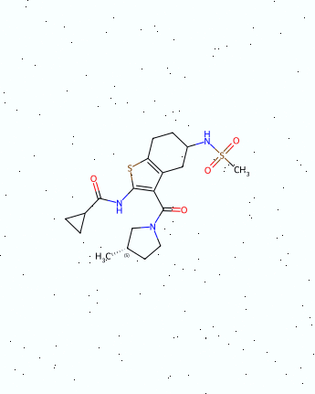 C[C@H]1CCN(C(=O)c2c(NC(=O)C3CC3)sc3c2CC(NS(C)(=O)=O)CC3)C1